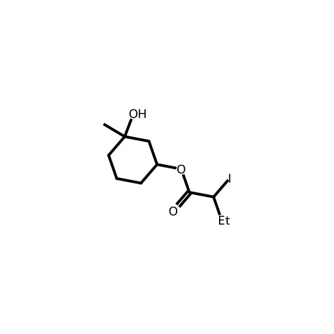 CCC(I)C(=O)OC1CCCC(C)(O)C1